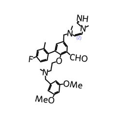 COc1cc(CN(C)CCOc2c(C=O)cc(CN(C)/C=C\N(C)C=N)cc2-c2ccc(F)cc2C)cc(OC)c1